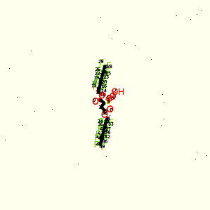 O=C(CC(SOOO)C(=O)OCC(F)(F)C(F)(F)C(F)(F)C(F)(F)C(F)(F)C(F)F)OCC(F)(F)C(F)(F)C(F)(F)C(F)(F)C(F)(F)C(F)F